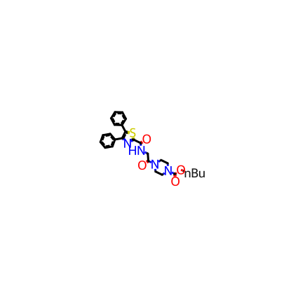 CCCCOC(=O)N1CCN(C(=O)CNC(=O)c2nc(-c3ccccc3)c(-c3ccccc3)s2)CC1